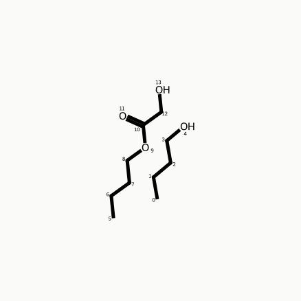 CCCCO.CCCCOC(=O)CO